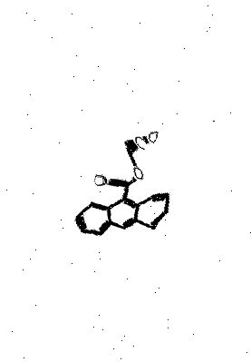 O=C=COC(=O)c1c2ccccc2cc2ccccc12